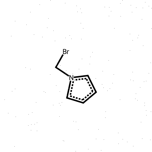 BrCn1cccc1